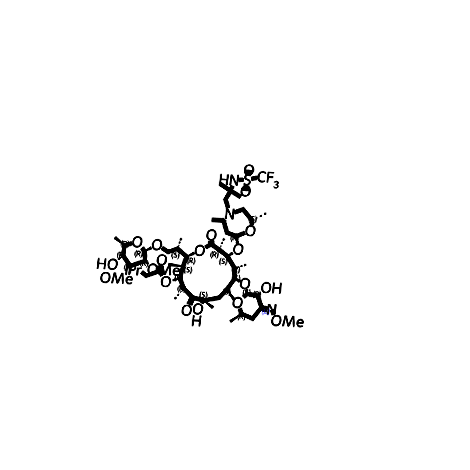 CO/N=C1\C[C@@H](C)O[C@@H](O[C@@H]2[C@@H](C)[C@H](O[C@H]3CC(C)N(CC(C)(C)NS(=O)(=O)C(F)(F)F)C[C@H](C)O3)[C@@H](C)C(=O)O[C@H]([C@@H](C)CO[C@@H]3O[C@H](C)[C@@H](O)[C@@H](OC)[C@H]3OC)[C@H](C)[C@@H](OC(=O)CC(C)C)[C@@H](C)C(=O)[C@@](C)(O)C[C@@H]2C)[C@@H]1O